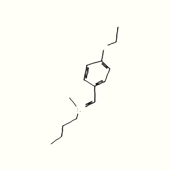 CCCC[N+]([O-])=Cc1ccc(OCC)cc1